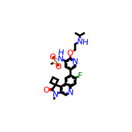 CC(C)NCCOc1ncc(-c2cc3c4c(cnc3cc2F)N(C)C(=O)C42CCC2)cc1NS(C)(=O)=O